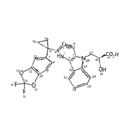 CC(C)(C)c1c(NC(=O)C2(c3ccc4c(c3)OC(F)(F)O4)CC2)c2ccccc2n1C[C@H](O)C(=O)O